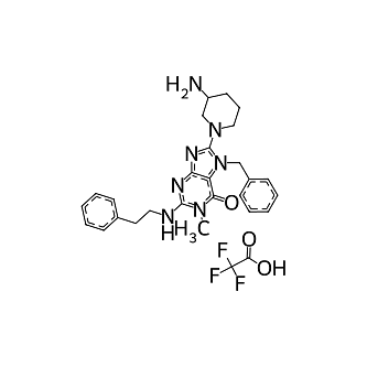 Cn1c(NCCc2ccccc2)nc2nc(N3CCCC(N)C3)n(Cc3ccccc3)c2c1=O.O=C(O)C(F)(F)F